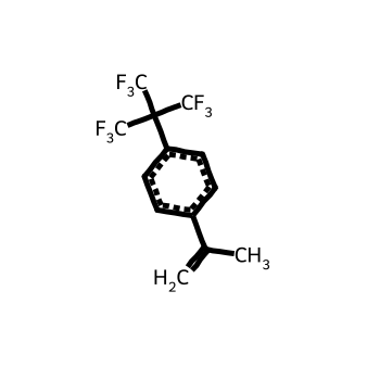 C=C(C)c1ccc(C(C(F)(F)F)(C(F)(F)F)C(F)(F)F)cc1